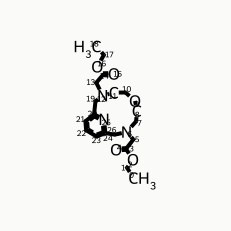 CCOC(=O)CN1CCOCCN(CC(=O)OCC)Cc2cccc(n2)C1